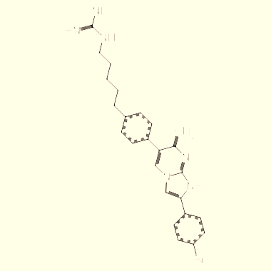 C=C1N=C2NC(c3ccc(Br)cc3)=CN2C=C1c1ccc(CCCCCNC(=N)N)cc1